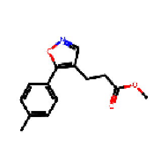 COC(=O)CCc1cnoc1-c1ccc(C)cc1